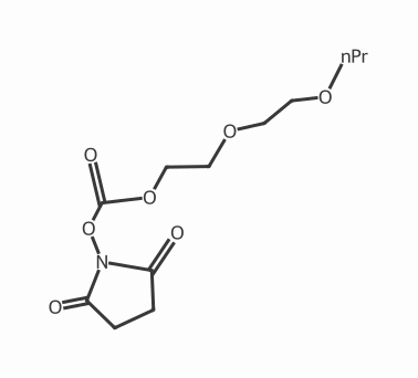 CCCOCCOCCOC(=O)ON1C(=O)CCC1=O